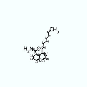 CCCCCCCCc1nccc2cccc(C(N)=O)c12